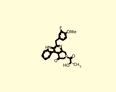 COc1ccc(Cc2nc3c(c4c2[nH]c2ccccc24)C(=O)CN(C(=O)[C@H](C)O)C3)cc1F